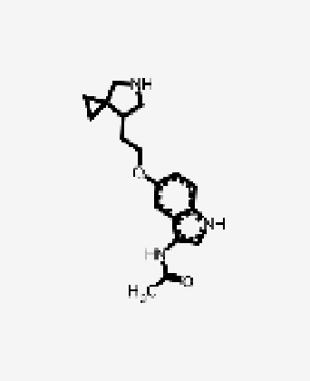 CC(=O)Nc1c[nH]c2ccc(OCCC3CNCC34CC4)cc12